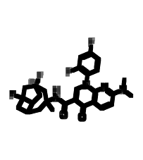 CN(C)c1ccc2c(=O)c(C(=O)NC3(C)CC4CC5(F)C[C@@](F)(CC45)C3)cn(-c3ccc(F)cc3F)c2n1